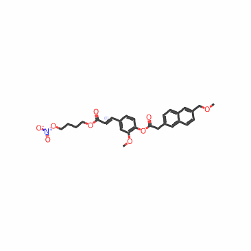 COCc1ccc2cc(CC(=O)Oc3ccc(/C=C/C(=O)OCCCCO[N+](=O)[O-])cc3OC)ccc2c1